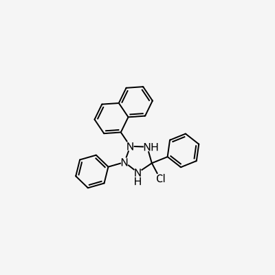 ClC1(c2ccccc2)NN(c2ccccc2)N(c2cccc3ccccc23)N1